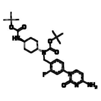 CC(C)(C)OC(=O)N[C@H]1CC[C@H](N(Cc2ccc(-n3ccc(N)nc3=O)cc2F)C(=O)OC(C)(C)C)CC1